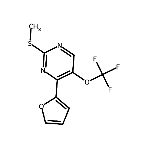 CSc1ncc(OC(F)(F)F)c(-c2ccco2)n1